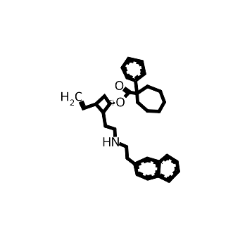 C=CC1C[C@H](OC(=O)C2(c3ccccc3)CCCCCC2)C1CCNCCc1ccc2ccccc2c1